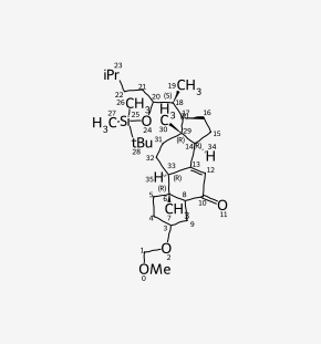 COCOC1CC[C@@]2(C)C(C1)C(=O)C=C1[C@@H]3CC[C@H]([C@H](C)C(CCC(C)C)O[Si](C)(C)C(C)(C)C)[C@@]3(C)CC[C@@H]12